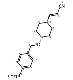 CCCCCCCc1ccc(CO[C@H]2CC[C@H](C=CC#N)CC2)cc1